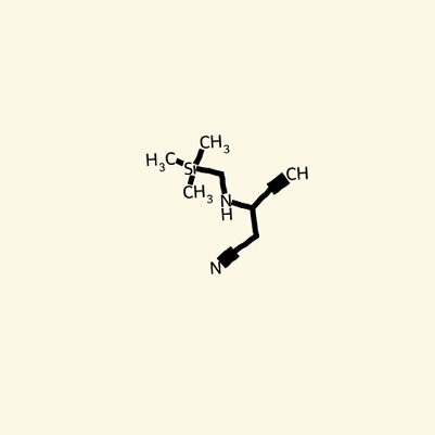 C#CC(CC#N)NC[Si](C)(C)C